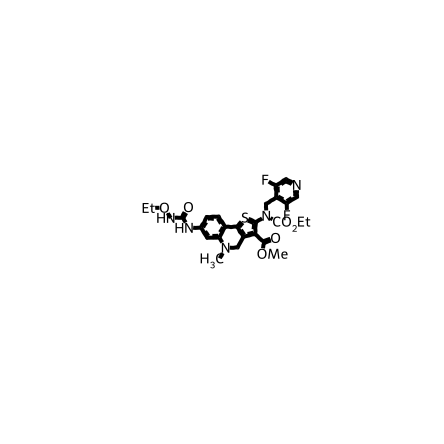 CCONC(=O)Nc1ccc2c(c1)N(C)Cc1c-2sc(N(Cc2c(F)cncc2F)C(=O)OCC)c1C(=O)OC